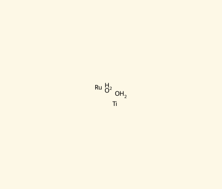 O.O.[Ru].[Ti]